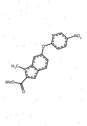 COC(=O)c1cc2ccc(Oc3ccc([N+](=O)[O-])cn3)cc2n1C